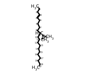 CCCC=CCCCCCCCCCCCCCCCC.CN(C)C